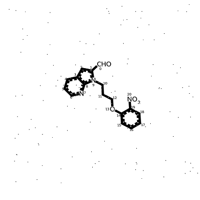 O=Cc1cc2cccnc2n1CCCOc1ccccc1[N+](=O)[O-]